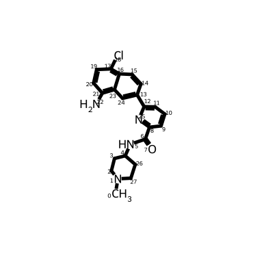 CN1CCC(NC(=O)c2cccc(-c3ccc4c(Cl)ccc(N)c4c3)n2)CC1